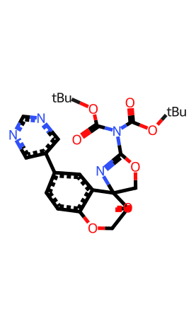 CC(C)(C)OC(=O)N(C(=O)OC(C)(C)C)C1=NC2(CO1)c1cc(-c3cncnc3)ccc1OCC21COC1